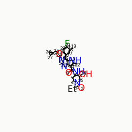 CCC(=O)N1CC[C@@H](NC(=O)c2c(C)[nH]c3c(-c4cc(C)c(F)cc4OCC4CC4)ncnc23)[C@H](O)C1